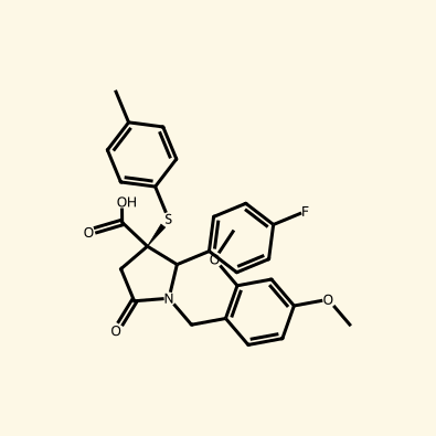 COc1ccc(CN2C(=O)C[C@](Sc3ccc(C)cc3)(C(=O)O)C2c2ccc(F)cc2)c(OC)c1